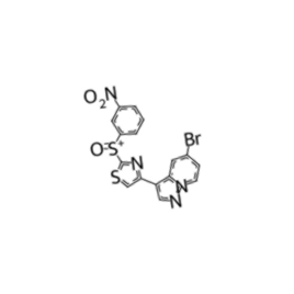 O=[N+]([O-])c1cccc([S+]([O-])c2nc(-c3cnn4ccc(Br)cc34)cs2)c1